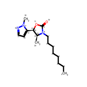 CCCCCCCCN1C(=O)O[C@H](c2ccnn2C)[C@@H]1C